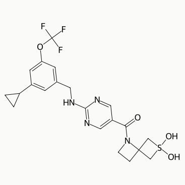 O=C(c1cnc(NCc2cc(OC(F)(F)F)cc(C3CC3)c2)nc1)N1CCC12CS(O)(O)C2